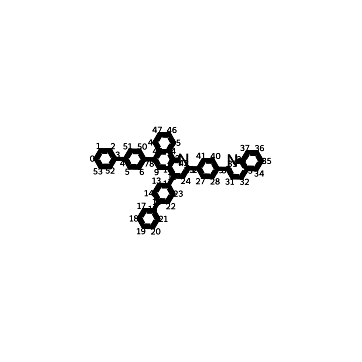 c1ccc(-c2ccc(-c3cc4c(-c5ccc(-c6ccccc6)cc5)cc(-c5ccc(-c6ccc7ccccc7n6)cc5)nc4c4ccccc34)cc2)cc1